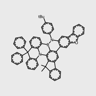 CC(C)(C)c1ccc(N2B3c4cccc5c4N(c4ccccc4C5(c4ccccc4)c4ccccc4)c4c3c(cc3c4C(C)(C)c4ccccc4-3)-c3cc4oc5ccccc5c4cc32)cc1